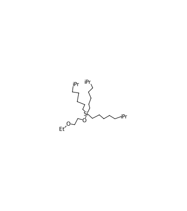 CCOCCO[Si](CCCCCC(C)C)(CCCCCC(C)C)CCCCCC(C)C